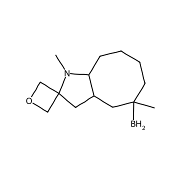 BC1(C)CCCCC2C(C1)CC1(COC1)N2C